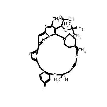 Cc1nc2cc3nn2c(c1[C@H](OC(C)(C)C)C(=O)O)N1CCC(C)(CC/C=C\C[C@@H](C)Oc2cc(F)ccc2Cc2cnc-3s2)CC1